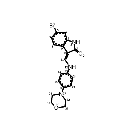 O=C1Nc2cc(Br)ccc2C1=CNc1ccc(N2CCOCC2)cc1